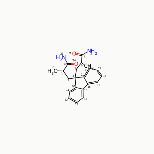 CC(CC1(CC(C)C(N)=O)c2ccccc2-c2ccccc21)C(N)=O